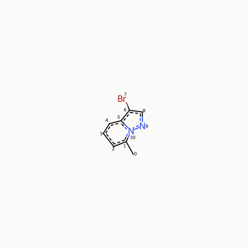 Cc1cccc2c(Br)cnn12